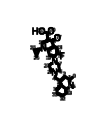 Cc1cc(CN2CCN(c3cc4c(cc3F)c(=O)c(C(=O)O)cn4C3CC3)CC2)c2ccccc2n1